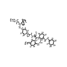 CCOC(=O)C(Cc1ccc(OCCN(C)C2c3cc(CC)ccc3CCc3c(CCc4ccccc4)cccc32)cc1)OCC